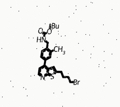 Cc1cc(-c2ccnc3sc(CCCCBr)cc23)ccc1CNC(=O)OC(C)(C)C